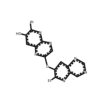 CCc1nc2cncnc2cc1Oc1cnc2nc(C(C)C)c(O)cc2n1